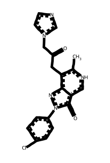 Cc1[nH]cc2c(=O)n(-c3ccc(Cl)cc3)nc-2c1CC(=O)Cn1ccnc1